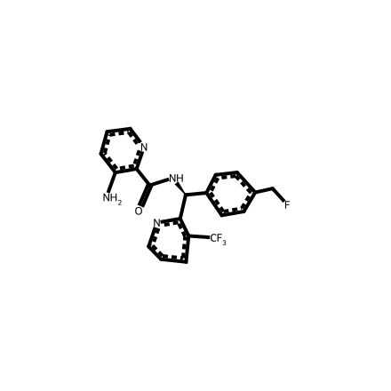 Nc1cccnc1C(=O)N[C@@H](c1ccc(CF)cc1)c1ncccc1C(F)(F)F